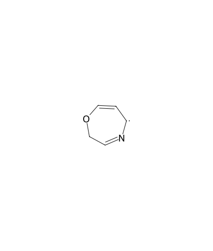 [CH]1C=COCC=N1